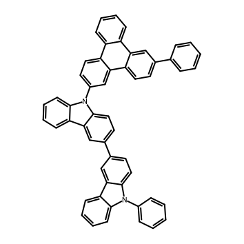 c1ccc(-c2ccc3c(c2)c2ccccc2c2ccc(-n4c5ccccc5c5cc(-c6ccc7c(c6)c6ccccc6n7-c6ccccc6)ccc54)cc23)cc1